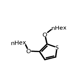 CCCCCCOc1ccsc1OCCCCCC